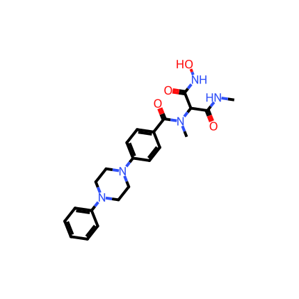 CNC(=O)C(C(=O)NO)N(C)C(=O)c1ccc(N2CCN(c3ccccc3)CC2)cc1